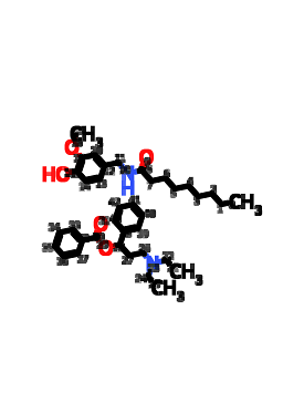 CCCCCCCCC(=O)NCc1ccc(O)c(OC)c1.CCN(CC)CCC(OC(=O)c1ccccc1)c1ccccc1